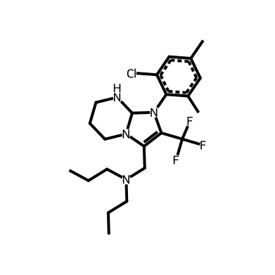 CCCN(CCC)CC1=C(C(F)(F)F)N(c2c(C)cc(C)cc2Cl)C2NCCCN12